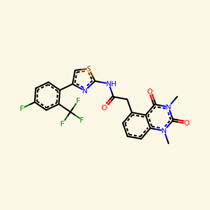 Cn1c(=O)c2c(CC(=O)Nc3nc(-c4ccc(F)cc4C(F)(F)F)cs3)cccc2n(C)c1=O